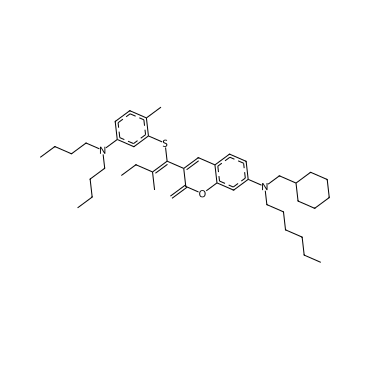 C=C1Oc2cc(N(CCCCCC)CC3CCCCC3)ccc2C=C1/C(Sc1cc(N(CCCC)CCCC)ccc1C)=C(\C)CC